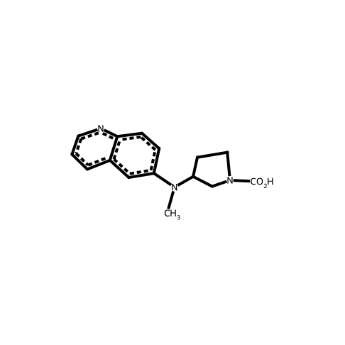 CN(c1ccc2ncccc2c1)C1CCN(C(=O)O)C1